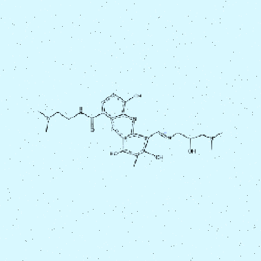 Cc1c(O)c(/C=N/CC(O)CN(C)C)c2nc3c(O)ccc(C(=O)NCCN(C)C)c3nc2c1O